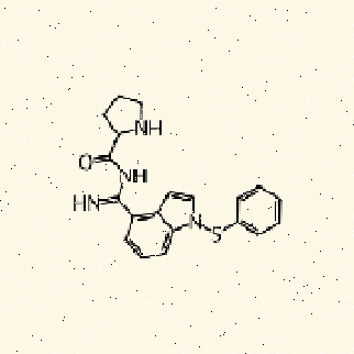 N=C(NC(=O)C1CCCN1)c1cccc2c1ccn2Sc1ccccc1